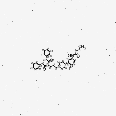 CCCC(=O)Nc1ccc(F)c(C2CCN(CCCN(C(=O)Cc3ccccc3)C(=O)Cc3ccccc3)CC2)c1